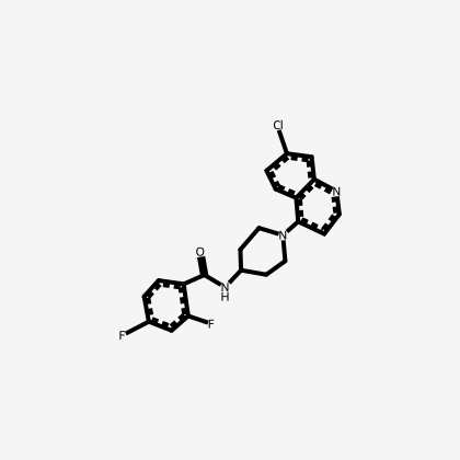 O=C(NC1CCN(c2ccnc3cc(Cl)ccc23)CC1)c1ccc(F)cc1F